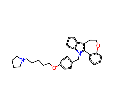 c1ccc2c(c1)OCCc1c-2n(Cc2ccc(OCCCCCN3CCCC3)cc2)c2ccccc12